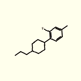 CCCC1CCC(c2ccc(C)cc2F)CC1